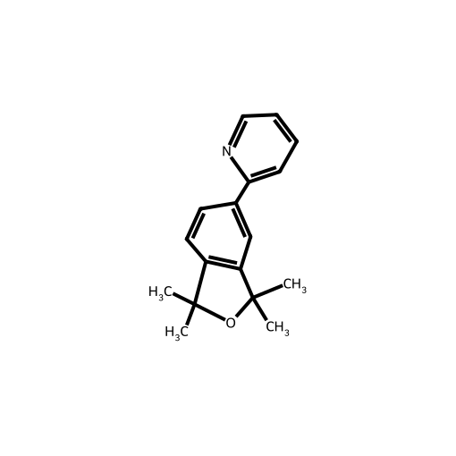 CC1(C)OC(C)(C)c2cc(-c3ccccn3)ccc21